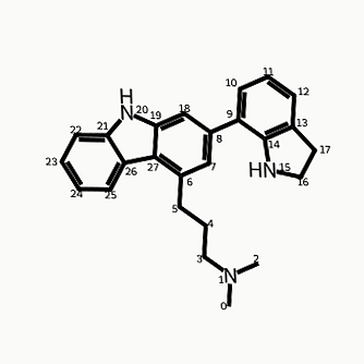 CN(C)CCCc1cc(-c2cccc3c2NCC3)cc2[nH]c3ccccc3c12